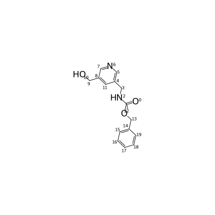 O=C(NCc1cncc(CO)c1)OCc1ccccc1